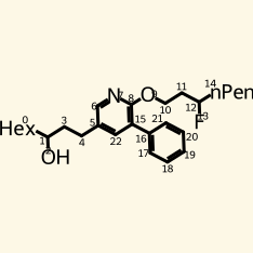 CCCCCCC(O)CCc1cnc(OCCC(F)CCCCC)c(-c2ccccc2)c1